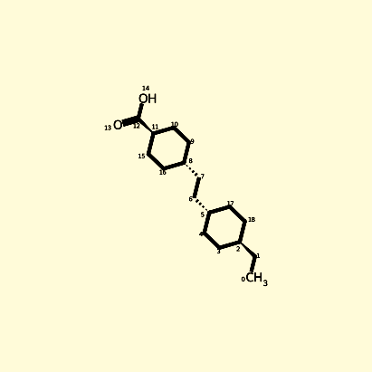 CC[C@H]1CC[C@H](CC[C@H]2CC[C@H](C(=O)O)CC2)CC1